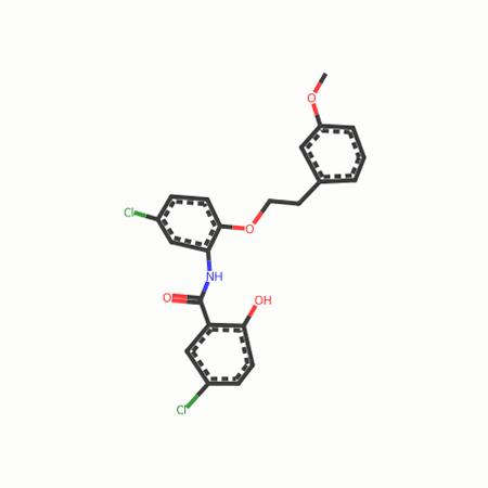 COc1cccc(CCOc2ccc(Cl)cc2NC(=O)c2cc(Cl)ccc2O)c1